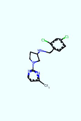 FC(F)(F)c1ccnc(N2CCC(NCc3ccc(Cl)cc3Cl)C2)n1